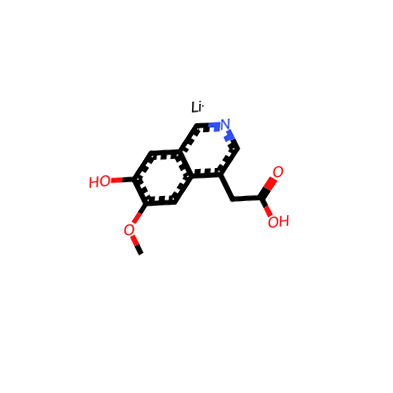 COc1cc2c(CC(=O)O)cncc2cc1O.[Li]